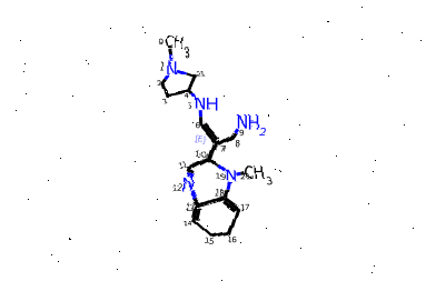 CN1CCC(N/C=C(\CN)C2C=NC3=CCCC=C3N2C)C1